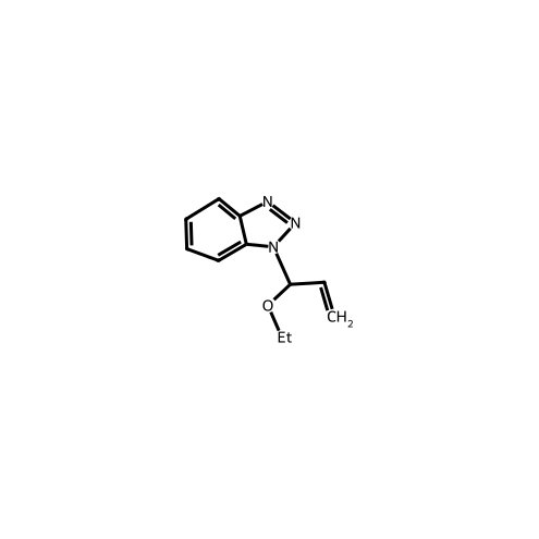 C=CC(OCC)n1nnc2ccccc21